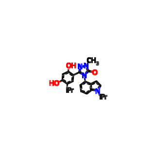 CC(C)c1cc(-c2nn(C)c(=O)n2-c2cccc3c2ccn3C(C)C)c(O)cc1O